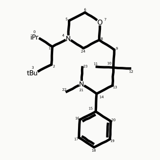 CC(C)C(CC(C)(C)C)N1CCOC(CC(C)(C)CC(c2ccccc2)N(C)C)C1